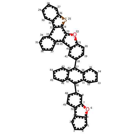 c1ccc2c(c1)oc1cc(-c3c4ccccc4c(-c4ccc5oc6c7sc8ccccc8c7c7ccccc7c6c5c4)c4ccccc34)ccc12